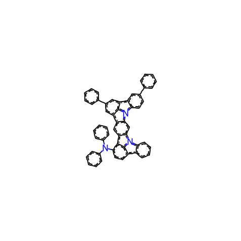 c1ccc(-c2ccc3c(c2)c2cc(-c4ccccc4)cc4c5cc6c7c(N(c8ccccc8)c8ccccc8)ccc8c9ccccc9n(c6cc5n3c24)c87)cc1